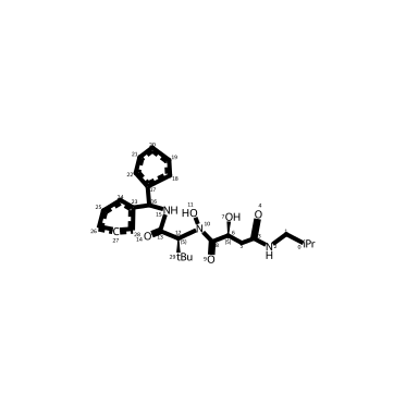 CC(C)CNC(=O)C[C@H](O)C(=O)N(O)[C@H](C(=O)NC(c1ccccc1)c1ccccc1)C(C)(C)C